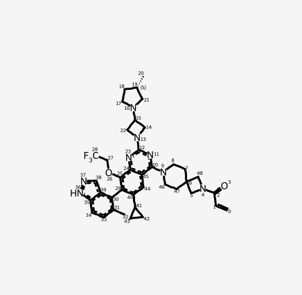 C=CC(=O)N1CC2(CCN(c3nc(N4CC(N5CC[C@H](C)C5)C4)nc4c(OCC(F)(F)F)c(-c5c(C)ccc6[nH]ncc56)c(C5CC5)cc34)CC2)C1